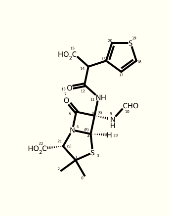 CC1(C)S[C@H]2N(C(=O)[C@@]2(NC=O)NC(=O)C(C(=O)O)c2ccsc2)[C@H]1C(=O)O